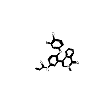 C=CC(=O)Nc1ccc(Oc2ccc(Cl)c(F)c2)c(-c2cn(C)c(=O)c3ccccc23)c1